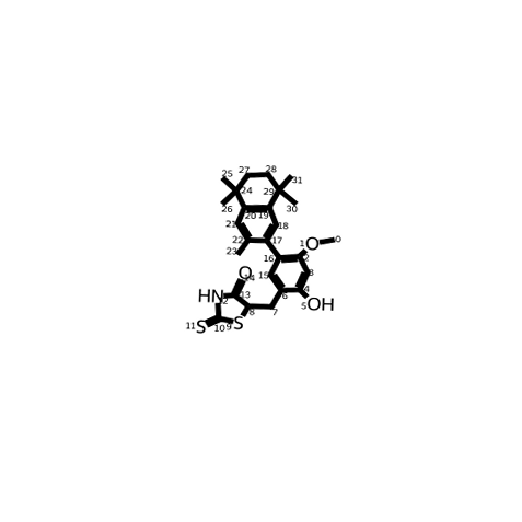 COc1cc(O)c(CC2SC(=S)NC2=O)cc1-c1cc2c(cc1C)C(C)(C)CCC2(C)C